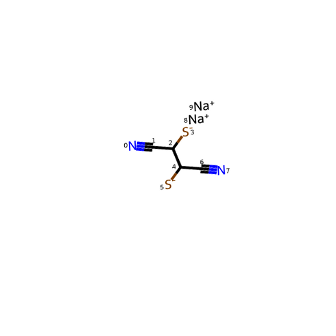 N#CC([S-])C([S-])C#N.[Na+].[Na+]